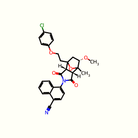 CO[C@H]1CC2(CCOc3ccc(Cl)cc3)OC1(C)[C@@H]1C(=O)N(c3ccc(C#N)c4ccccc34)C(=O)[C@@H]12